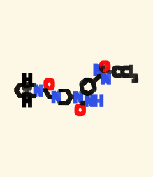 O=C(CN1CCC(n2c(=O)[nH]c3cc(-c4noc(C(Cl)(Cl)Cl)n4)ccc32)CC1)N1C[C@H]2CCC[C@H]2C1